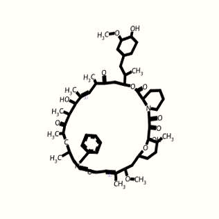 COC1CC2CCC(C)C(O)(O2)C(=O)C(=O)N2CCCCC2C(=O)OC(C(C)CC2CCC(O)C(OC)C2)CC(=O)C(C)/C=C(\C)C(O)C(C)C(=O)C(C)CC(C)C2C=CC(/C=C/1C)ON2c1ccccc1